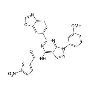 COc1cccc(-n2ncc3c(NC(=O)c4ccc([N+](=O)[O-])s4)nc(-c4ccc5ncoc5c4)nc32)c1